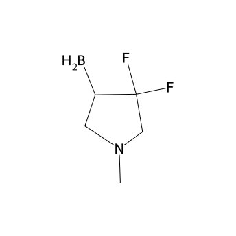 BC1CN(C)CC1(F)F